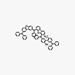 Cc1ccc(N(c2ccccc2)c2ccccc2)cc1-c1cc(N(c2ccccc2)c2cccc3c2oc2c(N(c4ccccc4)c4ccc5oc6ccc(N(c7ccccc7)c7ccccc7)cc6c5c4)cccc23)ccc1S